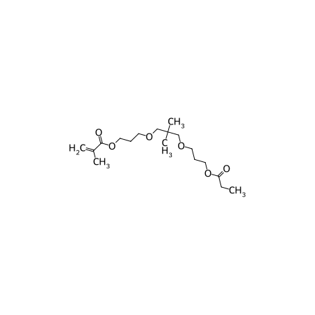 C=C(C)C(=O)OCCCOCC(C)(C)COCCCOC(=O)CC